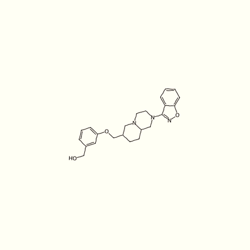 OCc1cccc(OCC2CCC3CN(c4noc5ccccc45)CCN3C2)c1